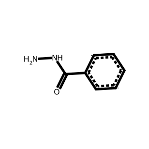 NNC(=O)c1[c]cc[c]c1